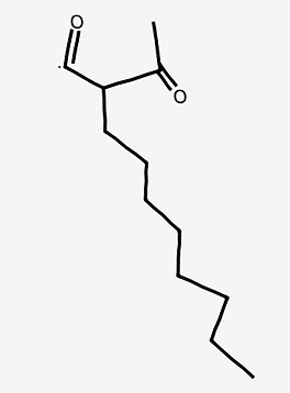 CCCCCCCCC([C]=O)C(C)=O